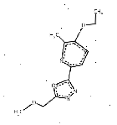 CCOc1ccc(-c2nnc(COC)o2)nc1C